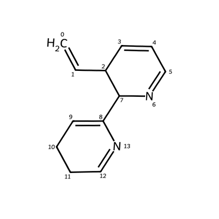 C=CC1C=CC=NC1C1=CCCC=N1